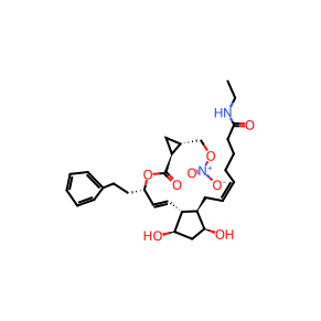 CCNC(=O)CCC/C=C\C[C@@H]1[C@@H](/C=C/[C@H](CCc2ccccc2)OC(=O)[C@H]2C[C@@H]2CO[N+](=O)[O-])[C@H](O)C[C@@H]1O